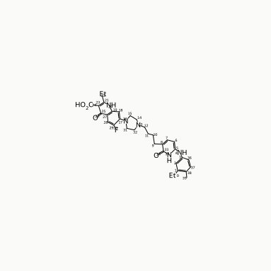 CCc1cc(Nc2ccc(CCCCN3CCN(c4cc5[nH]c(CC)c(C(=O)O)c(=O)c5cc4F)CC3)c(=O)[nH]2)ccc1C